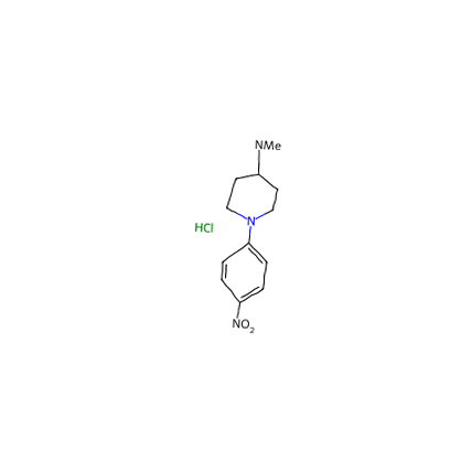 CNC1CCN(c2ccc([N+](=O)[O-])cc2)CC1.Cl